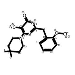 CC1(C)CCN(c2nc(Cc3ccccc3OC(F)(F)F)[nH]c(=O)c2C#N)CC1